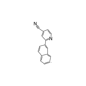 N#Cc1ccnc(-c2ccc3cc[c]cc3c2)c1